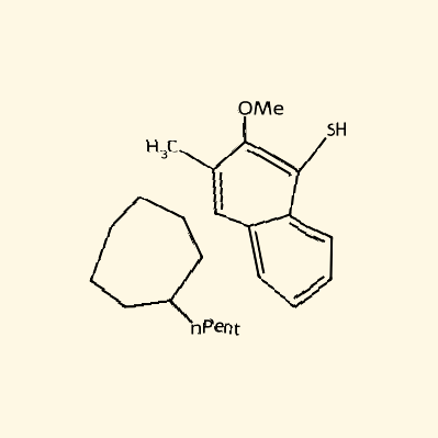 CCCCCC1CCCCCC1.COc1c(C)cc2ccccc2c1S